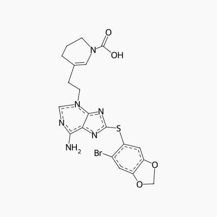 Nc1ncn(CCC2=CN(C(=O)O)CCC2)c2nc(Sc3cc4c(cc3Br)OCO4)nc1-2